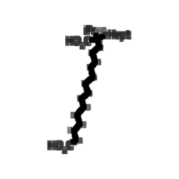 CCCCCCCC(CCCCCCCCCCCCCC(=O)O)(C(=O)O)C(C)C